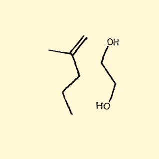 C=C(C)CCC.OCCO